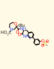 CC(C)(C)[C@@]1(C(=O)N[C@@H](Cc2ccc(-c3cccc(OS(C)(=O)=O)c3)cc2)C(N)=O)CN(C(=O)O)CCCO1